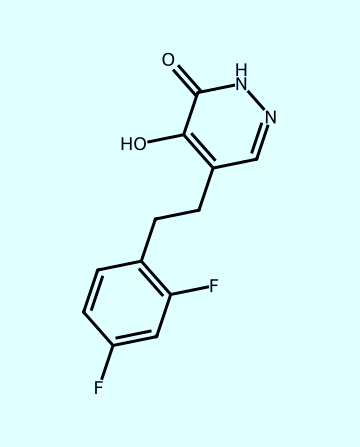 O=c1[nH]ncc(CCc2ccc(F)cc2F)c1O